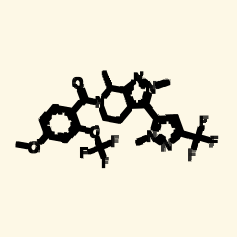 COc1ccc(C(=O)N2CCc3c(nn(C)c3-c3cc(C(F)(F)F)nn3C)C2C)c(OC(F)(F)F)c1